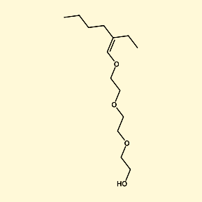 CCCCC(=COCCOCCOCCO)CC